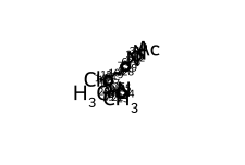 CC(=O)N1CCN(c2ccc(/C=C/c3cc(Cl)cc(C(=C(C)C)c4cccnc4)c3)cc2)CC1